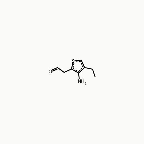 CCc1csc(CC=O)c1N